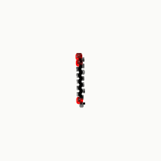 [CH2]OCCCCCCCCCCCO[C]=O